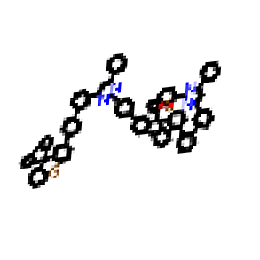 c1ccc(-c2cc(-c3cccc(-c4ccc(-c5ccc6c(c5)C5(c7ccccc7S6)c6ccccc6-c6ccccc65)cc4)c3)nc(-c3ccc(-c4ccc5c(c4)C4(c6ccccc6Sc6ccc(-c7ccccc7-c7cccc(-c8cc(-c9ccccc9)nc(-c9ccccc9)n8)c7)cc64)c4ccccc4-5)cc3)n2)cc1